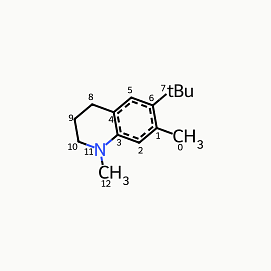 Cc1cc2c(cc1C(C)(C)C)CCCN2C